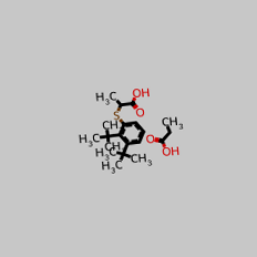 CC(Sc1cccc(C(C)(C)C)c1C(C)(C)C)C(=O)O.CCC(=O)O